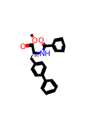 COC(=O)[C@@H](Cc1ccc(-c2ccccc2)cc1)NC(=O)c1ccccc1